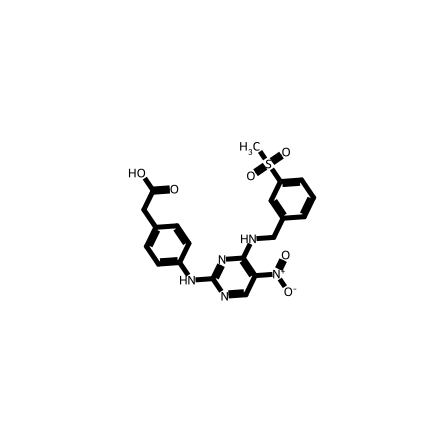 CS(=O)(=O)c1cccc(CNc2nc(Nc3ccc(CC(=O)O)cc3)ncc2[N+](=O)[O-])c1